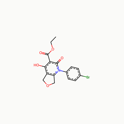 CCOC(=O)c1c(O)c2c(n(-c3ccc(Br)cc3)c1=O)COC2